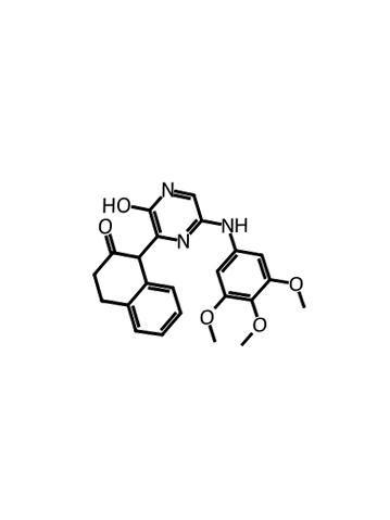 COc1cc(Nc2cnc(O)c(C3C(=O)CCc4ccccc43)n2)cc(OC)c1OC